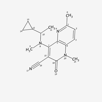 Cc1ccc2c(n1)c(N(C)C(C)C1CC1)c(C#N)c(=O)n2C